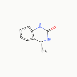 C[C@H]1NC(=O)Nc2ccccc21